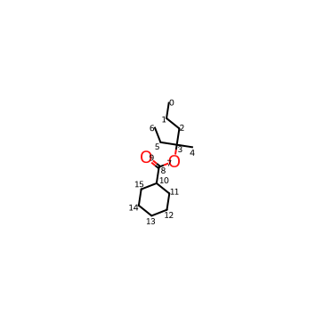 CCCC(C)(CC)OC(=O)C1CCCCC1